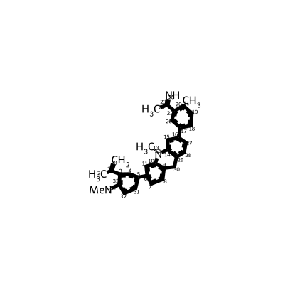 C=C(C)c1cc(-c2ccc3c(c2)N(C)c2cc(-c4ccc(C)c(C(C)=N)c4)ccc2C3)ccc1NC